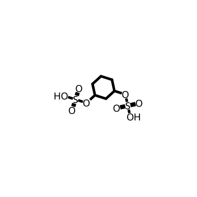 O=S(=O)(O)OC1CCCC(OS(=O)(=O)O)C1